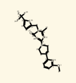 COc1cccc(C2=CCN(c3nc(C)n(Cc4ccc(C(F)(F)F)s4)c(=O)n3)CC2)n1